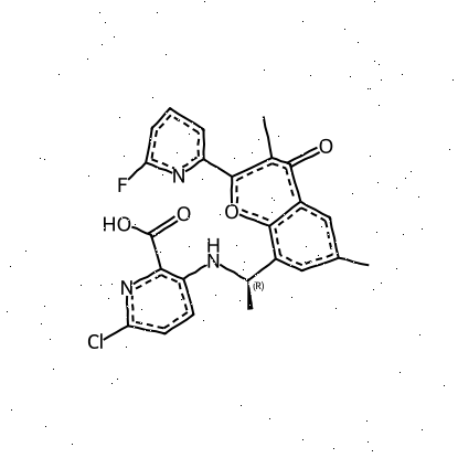 Cc1cc([C@@H](C)Nc2ccc(Cl)nc2C(=O)O)c2oc(-c3cccc(F)n3)c(C)c(=O)c2c1